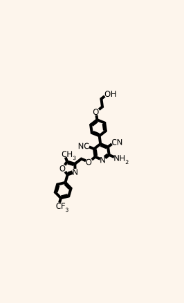 Cc1oc(-c2ccc(C(F)(F)F)cc2)nc1COc1nc(N)c(C#N)c(-c2ccc(OCCO)cc2)c1C#N